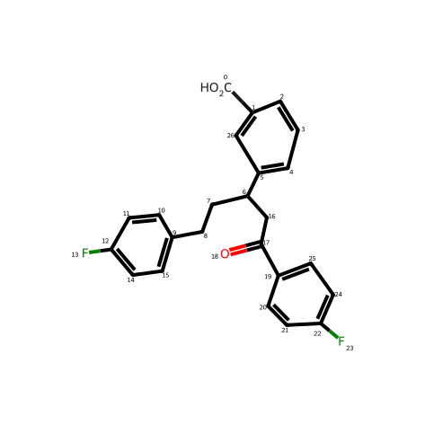 O=C(O)c1cccc(C(CCc2ccc(F)cc2)CC(=O)c2ccc(F)cc2)c1